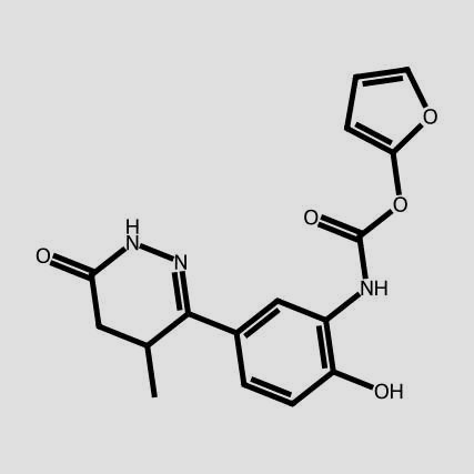 CC1CC(=O)NN=C1c1ccc(O)c(NC(=O)Oc2ccco2)c1